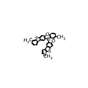 Cc1ccc2c3c1Oc1cc4sc5c(ccn5C)c4cc1B3c1cc3c(cc1O2)sc1c(C)cccc13